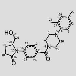 Cc1ccc(N2CCN(C(=O)c3ccc(N4C(=O)CC[C@H]4CO)cc3)CC2)c(C)c1